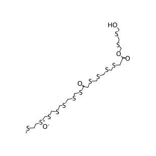 CSCC[S+]([O-])CSCSCSCSCSC(=O)CSCSCSCSCC(=O)OCSCSCO